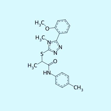 COc1ccccc1-c1nnc(SC(C)C(=O)Nc2ccc(C)cc2)n1C